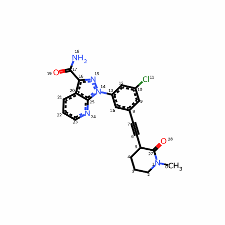 CN1CCCC(C#Cc2cc(Cl)cc(-n3nc(C(N)=O)c4cccnc43)c2)C1=O